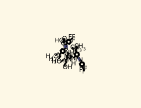 CCN(CC)c1ccc(/N=N/c2ccc(C(F)(F)F)cc2)c(Nc2nc(Nc3cc(N(CC)CC)ccc3/N=N/c3ccc(C(F)(F)F)cc3S(=O)(=O)O)nc(N(CCO)CCO)n2)c1